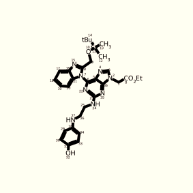 CCOC(=O)Cn1cnc2c(-n3c(CO[Si](C)(C)C(C)(C)C)nc4ccccc43)nc(NCCNc3ccc(O)cc3)nc21